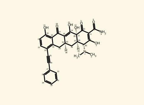 CN(C)[C@H]1C(O)=C(C(N)=O)C(=O)[C@]2(O)C(O)=C3C(=O)c4c(O)ccc(C#Cc5ccccc5)c4C[C@@H]3C[C@H]12